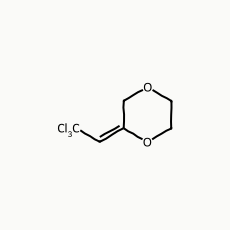 ClC(Cl)(Cl)C=C1COCCO1